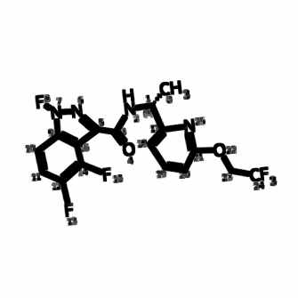 C[C@@H](NC(=O)c1nn(F)c2ccc(F)c(F)c12)c1cccc(OCC(F)(F)F)n1